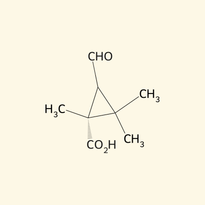 CC1(C)C(C=O)[C@@]1(C)C(=O)O